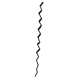 [CH]=C/C=C/C=C/C=C/C=C/C=C/C=C/CCCCCC